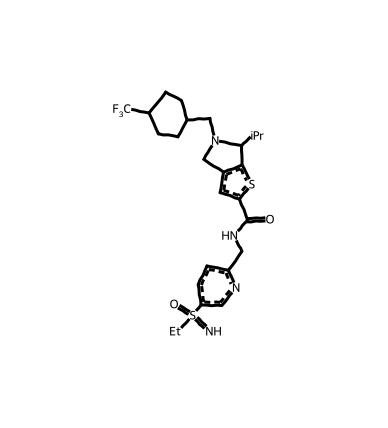 CCS(=N)(=O)c1ccc(CNC(=O)c2cc3c(s2)C(C(C)C)N(CC2CCC(C(F)(F)F)CC2)C3)nc1